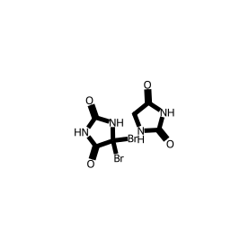 O=C1CNC(=O)N1.O=C1NC(=O)C(Br)(Br)N1